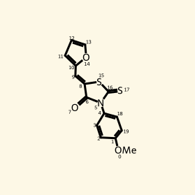 COc1ccc(N2C(=O)C(=Cc3ccco3)SC2=S)cc1